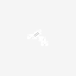 [Cu].[S]=[Sn].[Sr]